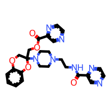 O=C(NCCN1CCN(C2(COC(=O)c3cnccn3)COc3ccccc3O2)CC1)c1cnccn1